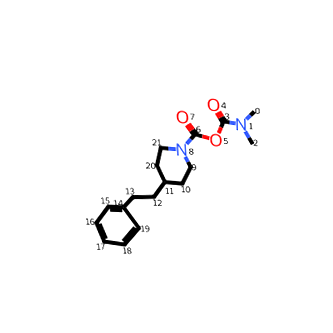 CN(C)C(=O)OC(=O)N1CCC(CCc2ccccc2)CC1